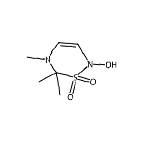 CN1C=CN(O)S(=O)(=O)C1(C)C